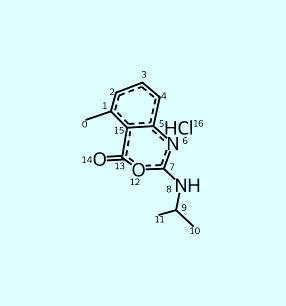 Cc1cccc2nc(NC(C)C)oc(=O)c12.Cl